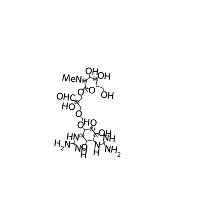 CN[C@@H]1C(O)[C@@H](O)C(CO)O[C@H]1OC[C@](O)(C=O)COCOC1[C@@H](NC(=N)N)C(O)C(NC(=N)N)[C@H](O)[C@@H]1O